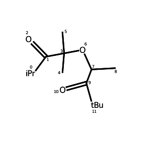 CC(C)C(=O)C(C)(C)OC(C)C(=O)C(C)(C)C